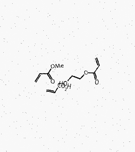 C=CC(=O)O.C=CC(=O)OC.C=CC(=O)OCCO